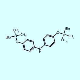 CC(C)(C)[Si](C)(C)Oc1ccc(Nc2ccc(O[Si](C)(C)C(C)(C)C)cc2)cc1